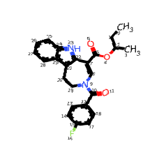 CCC(C)OC(=O)C1=CN(C(=O)c2ccc(F)cc2)CCc2c1[nH]c1ccccc21